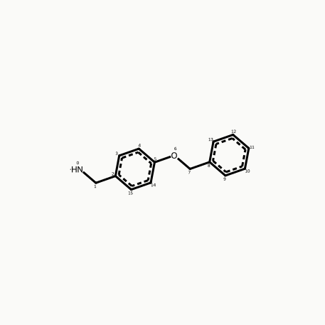 [NH]Cc1ccc(OCc2ccccc2)cc1